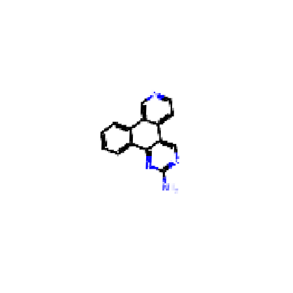 Nc1ncc2c3ccncc3c3ccccc3c2n1